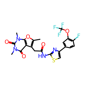 Cc1oc2c(c1CC(=O)Nc1nc(-c3ccc(F)c(OC(F)(F)F)c3)cs1)c(=O)n(C)c(=O)n2C